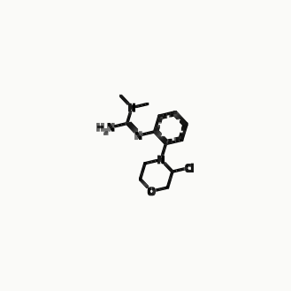 CN(C)C(N)=Nc1ccccc1N1CCOCC1Cl